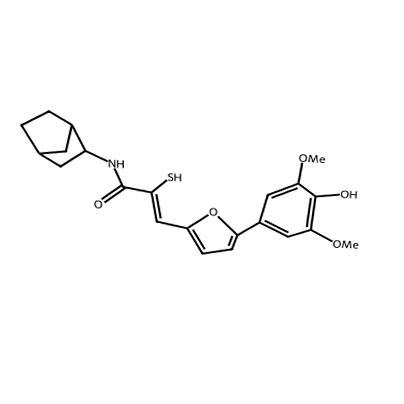 COc1cc(-c2ccc(/C=C(\S)C(=O)NC3CC4CCC3C4)o2)cc(OC)c1O